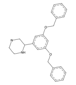 c1ccc(COc2cc(OCc3ccccc3)cc(C3C[N]CCN3)c2)cc1